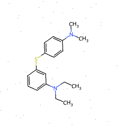 CCN(CC)c1cccc(Sc2ccc(N(C)C)cc2)c1